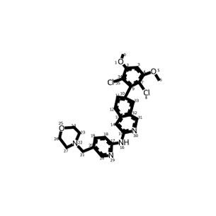 COc1cc(OC)c(Cl)c(-c2ccc3cc(Nc4ccc(CN5CCOCC5)cn4)ncc3c2)c1Cl